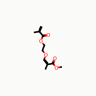 C=C(C)C(=O)OCCOC=C(C)C(=O)OC